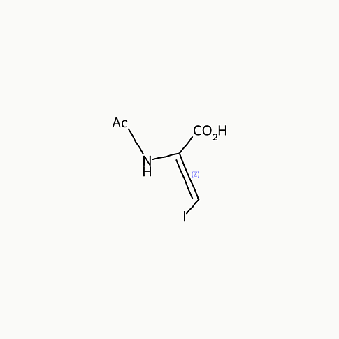 CC(=O)N/C(=C\I)C(=O)O